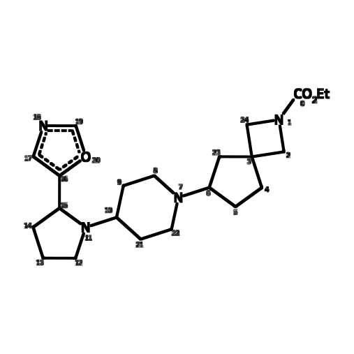 CCOC(=O)N1CC2(CCC(N3CCC(N4CCCC4c4cnco4)CC3)C2)C1